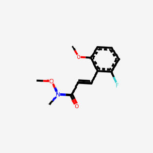 COc1cccc(F)c1C=CC(=O)N(C)OC